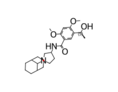 COc1cc(OC)c([C@H](C)O)cc1C(=O)NC1CCN(C2C3CCCC2CCC3)C1